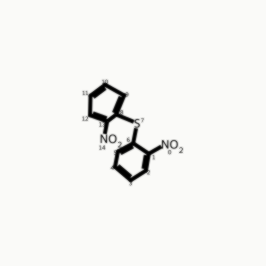 O=[N+]([O-])c1ccccc1Sc1ccccc1[N+](=O)[O-]